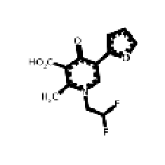 Cc1c(C(=O)O)c(=O)c(-c2ccco2)cn1CC(F)F